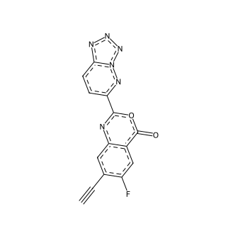 C#Cc1cc2nc(-c3ccc4nnnn4n3)oc(=O)c2cc1F